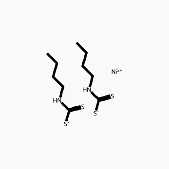 CCCCNC(=S)[S-].CCCCNC(=S)[S-].[Ni+2]